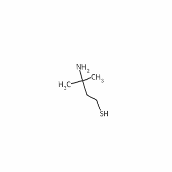 CC(C)(N)CCS